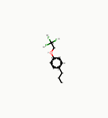 CCCc1ccc(OCC(F)(F)F)cc1